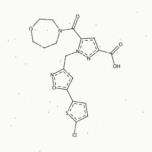 O=C(O)c1cc(C(=O)N2CCCOCC2)n(Cc2cc(-c3ccc(Cl)s3)on2)n1